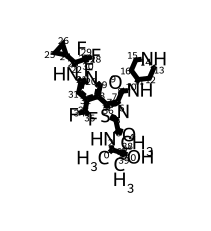 CC(NC(=O)c1nc(C(=O)NC2CCNCC2)c(-c2cnc(NC(C3CC3)C(F)(F)F)cc2C(F)F)s1)C(C)(C)O